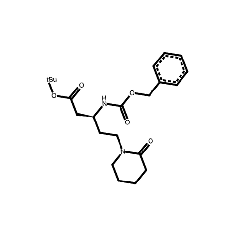 CC(C)(C)OC(=O)C[C@H](CCN1CCCCC1=O)NC(=O)OCc1ccccc1